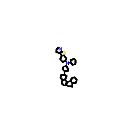 c1ccc(N(c2ccc(-c3ccc4ccc5ccc6ccccc6c5c4c3)cc2)c2ccc3c(c2)sc2ncccc23)cc1